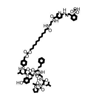 CC(=O)N1CCC[C@H]1C(=O)N[C@@H](CC(C)C)C(=O)NCC(=O)N[C@@H](CCc1ccccc1)C(=O)N[C@@H](Cc1ccc(O)cc1)C(=O)N[C@@H](CC(C)C)C(=O)Nc1ccc(COC(=O)OCCCCCCCCCCCC(=O)NCCNC(=O)c2ccc(NN=Cc3ccccc3S(=O)(=O)O)nc2)cc1